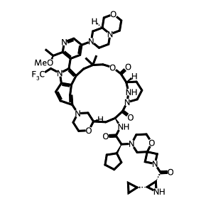 CO[C@@H](C)c1ncc(N2CCN3CCOC[C@@H]3C2)cc1-c1c2c3cc(ccc3n1CC(F)(F)F)N1CCO[C@@H](C[C@H](NC(=O)[C@H](C3CCCC3)N3CCOC4(CN(C(=O)[C@@H]5N[C@@H]5C5CC5)C4)C3)C(=O)N3CCC[C@H](N3)C(=O)OCC(C)(C)C2)C1